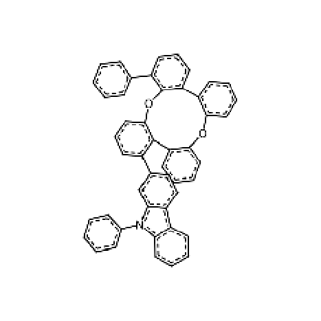 c1ccc(-c2cccc3c2Oc2cccc(-c4ccc5c6ccccc6n(-c6ccccc6)c5c4)c2-c2ccccc2Oc2ccccc2-3)cc1